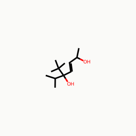 CC(O)C=CC(O)(C(C)C)C(C)(C)C